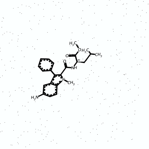 COC(=O)[C@@H](CC(C)C)NC(=O)c1c(-c2ccccc2)c2cc(N)ccc2n1C